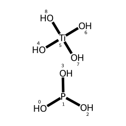 OP(O)O.[OH][Ti]([OH])([OH])[OH]